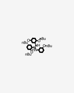 CCCCOc1cccc(NN(Nc2cc(OCCCC)ccc2OCCCC)c2ccccc2OCCCC)c1